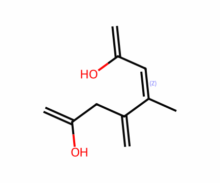 C=C(O)/C=C(/C)C(=C)CC(=C)O